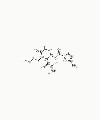 CN[C@H]1CN(C(=O)c2cnc(N)s2)C2CNC(=O)[C@H](CCCI)N2C1=O